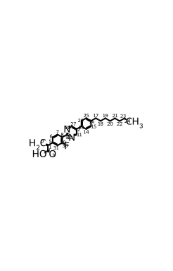 C=C(C(=O)O)c1ccc(-c2ncc(-c3ccc(CCCCCCCC)cc3)cn2)c(F)c1